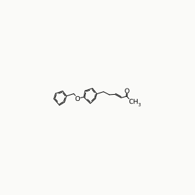 CC(=O)C=CCCc1ccc(OCc2ccccc2)cc1